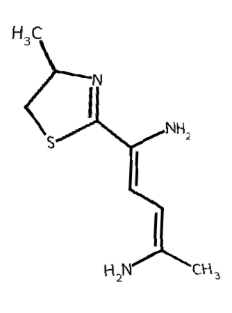 C/C(N)=C/C=C(\N)C1=NC(C)CS1